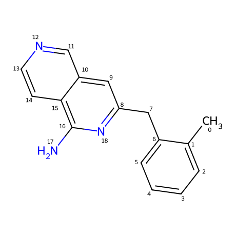 Cc1ccccc1Cc1cc2cnccc2c(N)n1